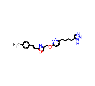 FC(F)(F)c1ccc(C=Cc2nc(COc3ccc(CCCCc4cnn[nH]4)nn3)co2)cc1